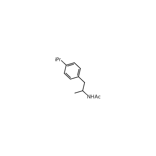 CC(=O)NC(C)Cc1ccc(C(C)C)cc1